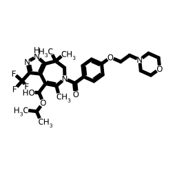 CC1=C(C(O)OC(C)C)c2c(C(F)(F)F)n[nH]c2C(C)(C)CN1C(=O)c1ccc(OCCN2CCOCC2)cc1